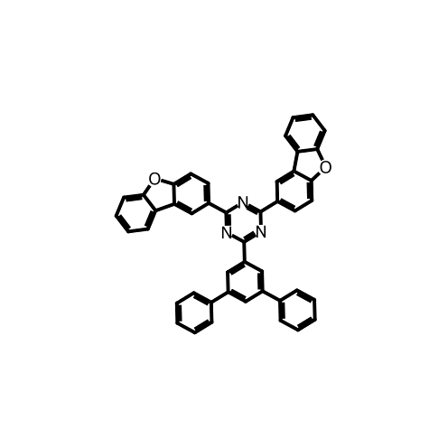 c1ccc(-c2cc(-c3ccccc3)cc(-c3nc(-c4ccc5oc6ccccc6c5c4)nc(-c4ccc5oc6ccccc6c5c4)n3)c2)cc1